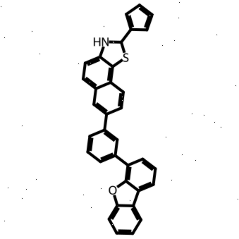 C1=CC=C(C2Nc3ccc4cc(-c5cccc(-c6cccc7c6oc6ccccc67)c5)ccc4c3S2)C=1